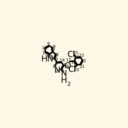 Nc1ncc(-c2cc3ccccc3[nH]2)cc1OCc1c(Cl)cccc1Cl